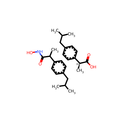 CC(C)Cc1ccc(C(C)C(=O)NO)cc1.CC(C)Cc1ccc([C@H](C)C(=O)O)cc1